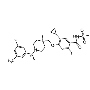 C[C@@H](c1cc(F)cc(C(F)(F)F)c1)N1CCC(C)(COc2cc(F)c(C(=O)NS(C)(=O)=O)cc2C2CC2)CC1